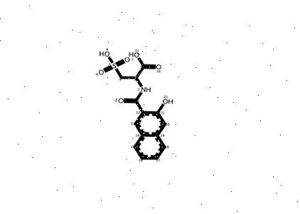 O=C(NC(CS(=O)(=O)O)C(=O)O)c1cc2ccccc2cc1O